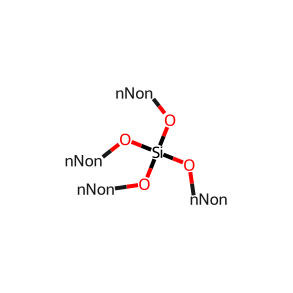 CCCCCCCCCO[Si](OCCCCCCCCC)(OCCCCCCCCC)OCCCCCCCCC